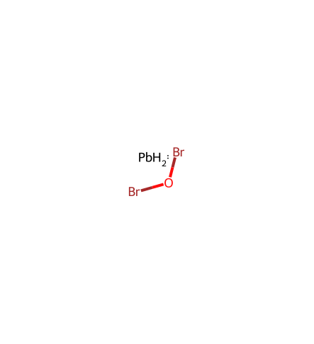 BrOBr.[PbH2]